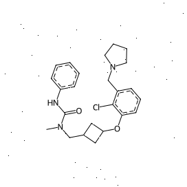 CN(CC1CC(Oc2cccc(CN3CCCC3)c2Cl)C1)C(=O)Nc1ccccc1